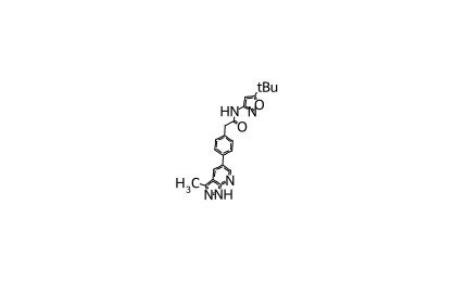 Cc1n[nH]c2ncc(-c3ccc(CC(=O)Nc4cc(C(C)(C)C)on4)cc3)cc12